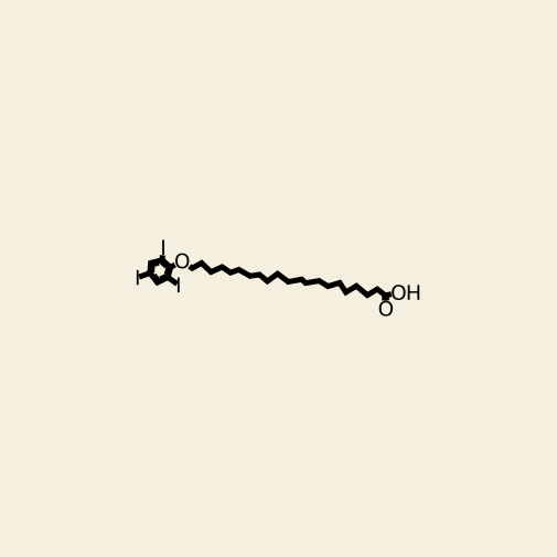 O=C(O)CCCCCCCCCCCCCCCCCCCCOc1c(I)cc(I)cc1I